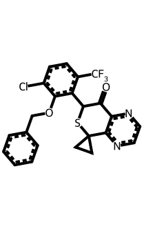 O=C1c2nccnc2C2(CC2)SC1c1c(C(F)(F)F)ccc(Cl)c1OCc1ccccc1